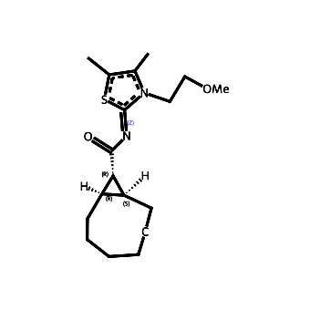 COCCn1c(C)c(C)s/c1=N\C(=O)[C@H]1[C@@H]2CCCCCC[C@@H]21